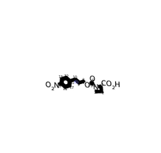 O=C(O)C1CCN1C(=O)OC/C=C/c1ccc([N+](=O)[O-])cc1